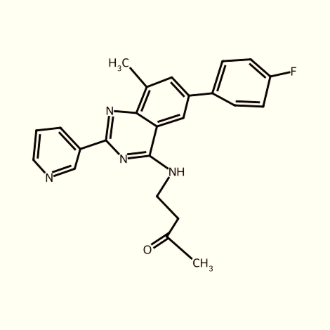 CC(=O)CCNc1nc(-c2cccnc2)nc2c(C)cc(-c3ccc(F)cc3)cc12